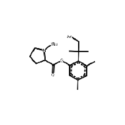 CC(=O)CC(C)(C)c1c(C)cc(C)cc1OC(=O)C1CCCN1C(C)(C)C